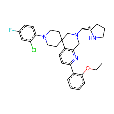 CCOc1ccccc1-c1ccc2c(n1)CN(C[C@H]1CCCN1)CC21CCN(c2ccc(F)cc2Cl)CC1